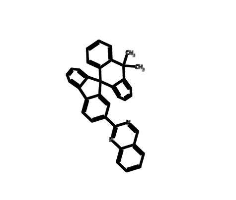 CC1(C)c2ccccc2C2(c3ccccc3-c3ccc(-c4ncc5ccccc5n4)cc32)c2ccccc21